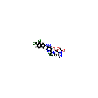 CN(C(=O)C1CNC(=O)CO1)[C@@H](c1ccc(NC2Cc3ccc(Cl)c(Cl)c3C2)cn1)C(F)(F)F